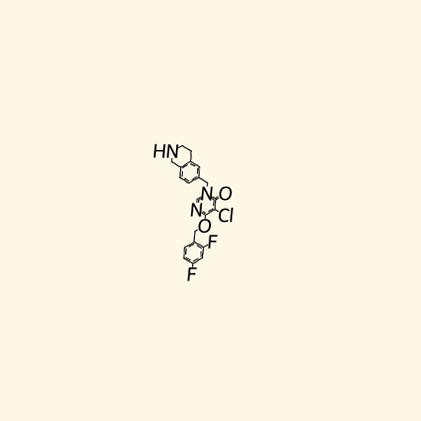 O=c1c(Cl)c(OCc2ccc(F)cc2F)ncn1Cc1ccc2c(c1)CCNC2